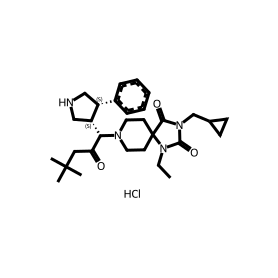 CCN1C(=O)N(CC2CC2)C(=O)C12CCN(C(C(=O)CC(C)(C)C)[C@@H]1CNC[C@@H]1c1ccccc1)CC2.Cl